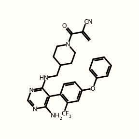 C=C(C#N)C(=O)N1CCC(CNc2ncnc(N)c2-c2ccc(Oc3ccccc3)cc2C(F)(F)F)CC1